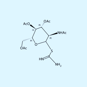 CC(=O)N[C@H]1C(SC(=N)N)O[C@H](COC(C)=O)[C@@H](OC(C)=O)[C@@H]1OC(C)=O